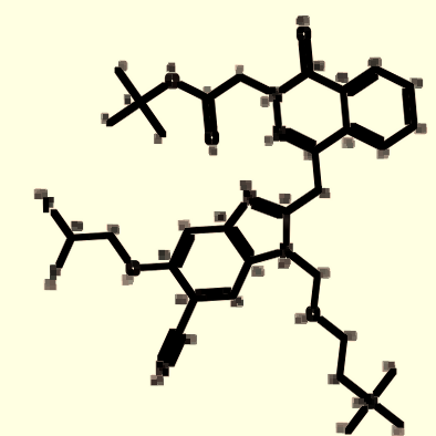 CC(C)(C)OC(=O)Cn1nc(Cc2nc3cc(OCC(F)F)c(C#N)cc3n2COCC[Si](C)(C)C)c2ccccc2c1=O